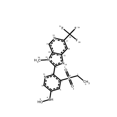 CCS(=O)(=O)c1cc(BO)cnc1-c1nc2cc(C(F)(F)F)ncc2n1C